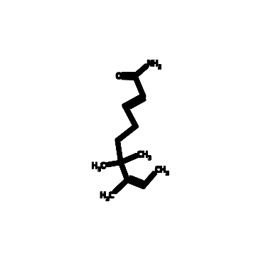 CC=C(C)C(C)(C)CCC=CC(N)=O